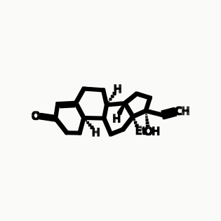 C#C[C@]1(O)CC[C@H]2[C@@H]3CCC4=CC(=O)CC[C@@H]4C3CC[C@@]21CC